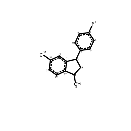 OC1CC(c2ccc(F)cc2)c2cc(Cl)ccc21